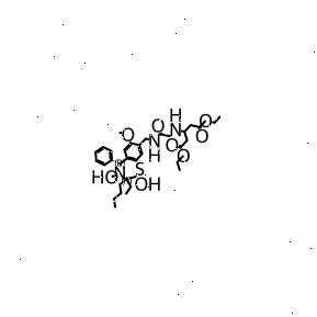 CCCC[C@]1(CC)C(O)Sc2cc(CNC(=O)CNC(CC(=O)OCC)CC(=O)OCC)c(OC)cc2[C@@H](c2ccccc2)N1O